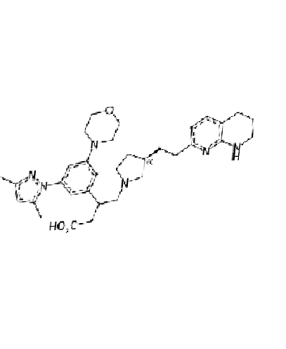 Cc1cc(C)n(-c2cc(C(CC(=O)O)CN3CC[C@@H](CCc4ccc5c(n4)NCCC5)C3)cc(N3CCOCC3)c2)n1